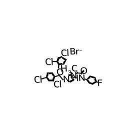 CC(C(=O)Nc1ccc(F)cc1)n1cc[n+](CC(OCc2ccc(Cl)cc2Cl)c2ccc(Cl)cc2Cl)c1.[Br-]